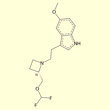 COc1ccc2[nH]cc(CCN3CC[C@H]3COC(F)F)c2c1